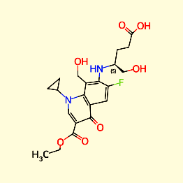 CCOC(=O)c1cn(C2CC2)c2c(CO)c(N[C@H](CO)CCC(=O)O)c(F)cc2c1=O